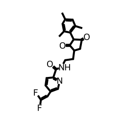 Cc1cc(C)c(C2C(=O)CC(CCNC(=O)c3ccc(C=C(F)F)cn3)C2=O)c(C)c1